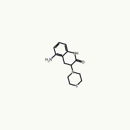 Nc1cccc2c1CC(N1CCSCC1)C(=O)N2